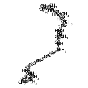 CC(=N)N1C(=N)[C@H](CC(=O)Nc2ccc(OCCOCCOCCOCCOCCOCCNCCCN(C)CCCNC(=O)CCNC(=O)c3nc(NC(=O)CCNC(=O)c4cc(NC(=O)c5nc(NC(=O)CCNC(=O)c6cc(NC(=O)c7nccn7C)cn6C)cn5C)cn4C)cn3C)cc2)N=C(c2ccc(Cl)cc2)c2c1sc(C)c2C